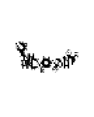 O=C(NC[C@H]1CN(c2ccc(N3CCNN(C(=O)NCc4cccnc4)CC3)c(F)c2)C(=O)O1)C(F)F